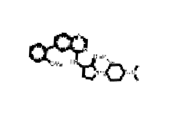 CCC[C@@H]1C[C@H](N(C)C)CC[C@@H]1N1CCC(Nc2ncnc3ccc(-c4ccccc4OC)cc23)C1=O